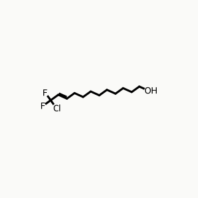 OCCCCCCCCCC=CC(F)(F)Cl